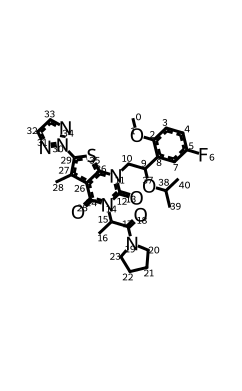 COc1ccc(F)cc1C(Cn1c(=O)n(C(C)C(=O)N2CCCC2)c(=O)c2c(C)c(-n3nccn3)sc21)OC(C)C